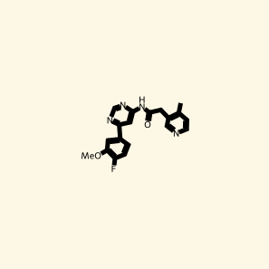 COc1cc(-c2cc(NC(=O)Cc3cnccc3C)ncn2)ccc1F